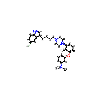 CCN(CC)c1cccc(Oc2cccc(N3CCN(CCCCc4c[nH]c5ccc(F)cc45)CC3)c2C)c1